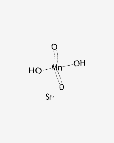 [O]=[Mn](=[O])([OH])[OH].[Sr]